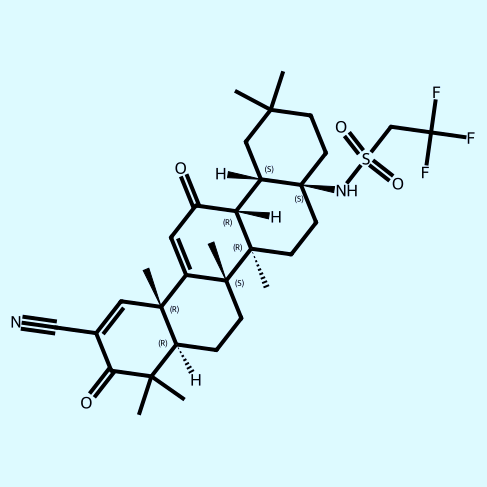 CC1(C)CC[C@]2(NS(=O)(=O)CC(F)(F)F)CC[C@]3(C)[C@H](C(=O)C=C4[C@@]5(C)C=C(C#N)C(=O)C(C)(C)[C@@H]5CC[C@]43C)[C@@H]2C1